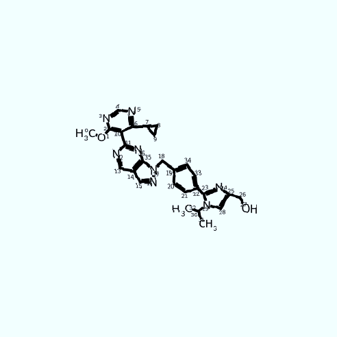 COc1ncnc(C2CC2)c1-c1ncc2cnn(Cc3ccc(-c4nc(CO)cn4C(C)C)cc3)c2n1